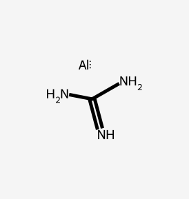 N=C(N)N.[Al]